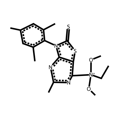 CC[N+](OC)(OC)c1nc(C)nc2c1sc(=S)n2-c1c(C)cc(C)cc1C